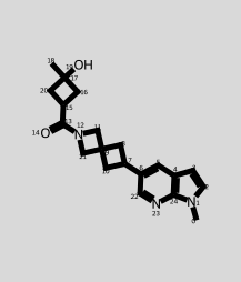 Cn1ccc2cc(C3CC4(C3)CN(C(=O)C3CC(C)(O)C3)C4)cnc21